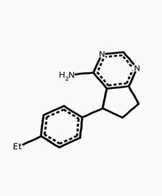 CCc1ccc(C2CCc3ncnc(N)c32)cc1